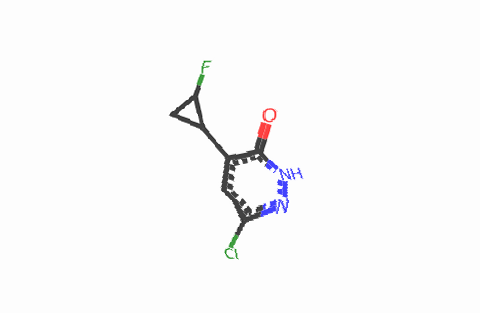 O=c1[nH]nc(Cl)cc1C1CC1F